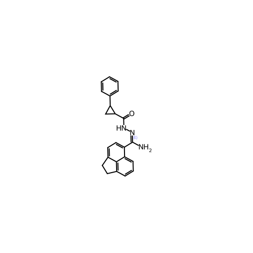 N/C(=N/NC(=O)C1CC1c1ccccc1)c1ccc2c3c(cccc13)CC2